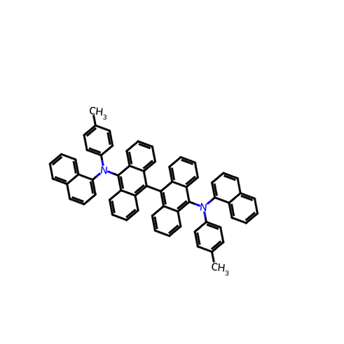 Cc1ccc(N(c2cccc3ccccc23)c2c3ccccc3c(-c3c4ccccc4c(N(c4ccc(C)cc4)c4cccc5ccccc45)c4ccccc34)c3ccccc23)cc1